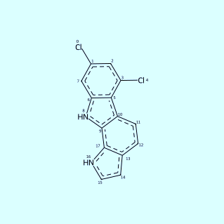 Clc1cc(Cl)c2c(c1)[nH]c1c2ccc2cc[nH]c21